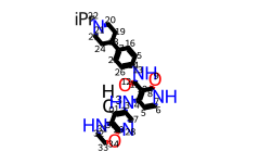 Cc1c(Nc2cc[nH]c(=O)c2C(=O)Nc2ccc(C3CCN(C(C)C)CC3)cc2)cnc2c1NCCO2